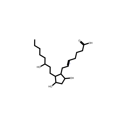 CCCCCC(O)CCC1C(O)CC(O)C1C/C=C/CCCC(=O)O